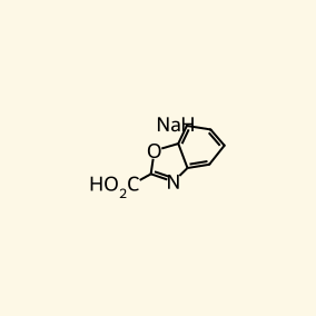 O=C(O)c1nc2ccccc2o1.[NaH]